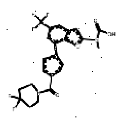 CN(C(=O)O)c1cc2cc(C(F)(F)F)cc(-c3ccc(C(=O)N4CCC(F)(F)CC4)cc3)c2o1